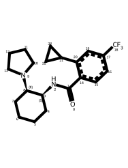 O=C(N[C@H]1CCCC[C@H]1N1CCCC1)c1ccc(C(F)(F)F)cc1C1CC1